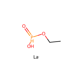 CCO[PH](=O)O.[La]